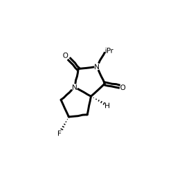 CC(C)N1C(=O)[C@H]2C[C@H](F)CN2C1=O